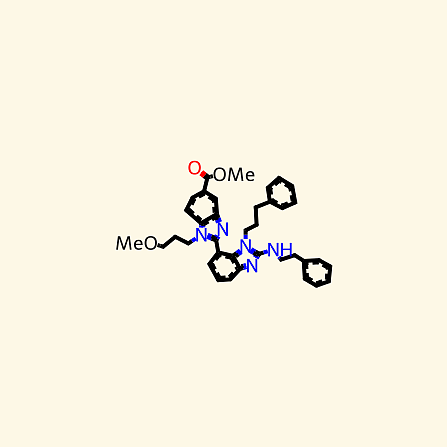 COCCCn1c(-c2cccc3nc(NCCc4ccccc4)n(CCCc4ccccc4)c23)nc2cc(C(=O)OC)ccc21